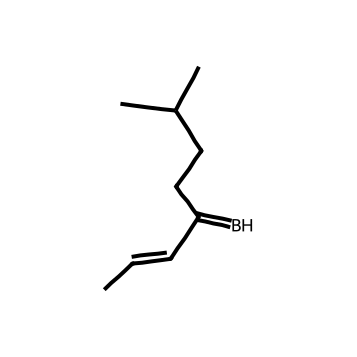 B=C(/C=C/C)CCC(C)C